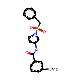 COc1cccc(C(=O)Nc2ccn(S(=O)(=O)Cc3ccccc3)c2)c1